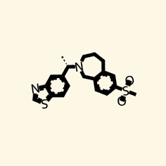 C[C@@H](c1ccc2scnc2c1)N1CCCc2cc(S(C)(=O)=O)ccc2C1